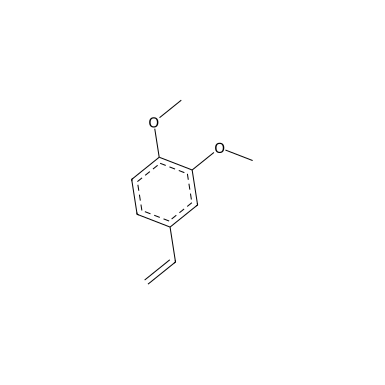 C=Cc1ccc(OC)c(OC)c1